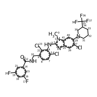 Cn1c(Nc2c(Cl)ccc(CNC(=O)c3cc(F)cc(F)c3)c2Cl)nc2cc(Cl)c(N3CCCC(C(F)(F)F)C3)cc21